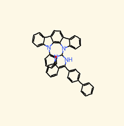 c1ccc(-c2ccc(C3=c4ccccc4=NC(n4c5ccccc5c5ccc6c7ccccc7n(-c7ccccc7)c6c54)N3)cc2)cc1